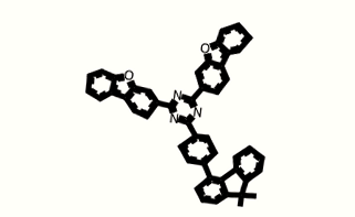 CC1(C)c2ccccc2-c2c(-c3ccc(-c4nc(-c5ccc6c(c5)oc5ccccc56)nc(-c5ccc6c(c5)oc5ccccc56)n4)cc3)cccc21